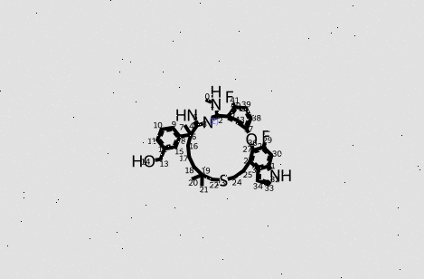 CN/C1=N\C(=N)C(C)(c2cccc(CO)c2)CCCC(C)(C)CSCCc2c(c(F)cc3[nH]ccc23)Oc2ccc(F)c1c2